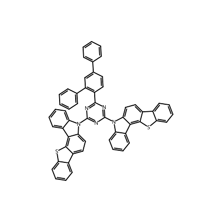 c1ccc(-c2ccc(-c3nc(-n4c5ccccc5c5c6sc7ccccc7c6ccc54)nc(-n4c5ccccc5c5c6sc7ccccc7c6ccc54)n3)c(-c3ccccc3)c2)cc1